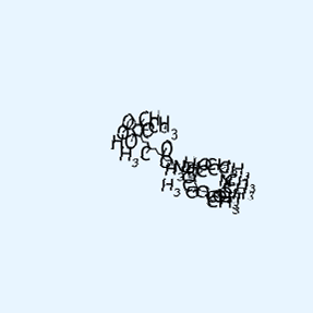 CC[C@H]1OC(=O)[C@H](C)[C@@H](OC(=O)CNCCOC(=O)CC/C(C)=C/Cc2c(O)c3c(c(C)c2OC)COC3=O)[C@H](C)C[C@](C)(O)C[C@@H](C)CN(C)[C@H](C)[C@@H](O)[C@]1(C)O